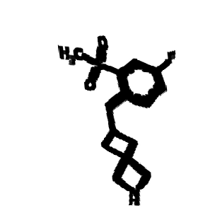 CS(=O)(=O)c1cc(F)ccc1CC1CC2(CNC2)C1